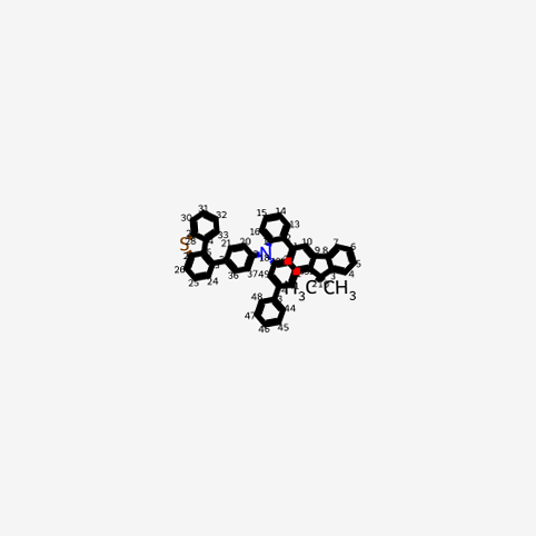 CC1(C)c2ccccc2-c2cc(-c3ccccc3N(c3ccc(-c4cccc5sc6ccccc6c45)cc3)c3cccc(-c4ccccc4)c3)ccc21